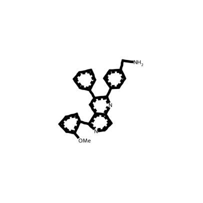 COc1ccccc1-c1nccc2nc(-c3ccc(CN)cc3)c(-c3ccccc3)cc12